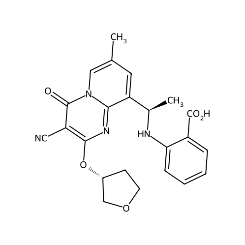 Cc1cc([C@@H](C)Nc2ccccc2C(=O)O)c2nc(O[C@@H]3CCOC3)c(C#N)c(=O)n2c1